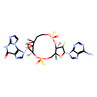 Nc1ncnc2c1ncn2[C@@H]1O[C@@H]2CO[P@@](=O)(S)O[C@@H]3[C@H](O)[C@@H](CCO[P@](=O)(S)O[C@H]2[C@H]1F)O[C@H]3n1cnc2c(=O)[nH]c3nccn3c21